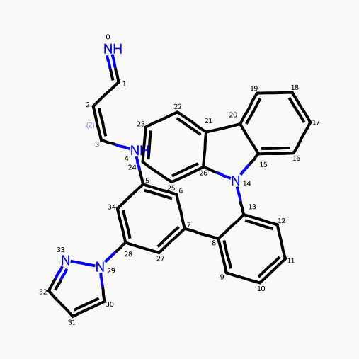 N=C/C=C\Nc1cc(-c2ccccc2-n2c3ccccc3c3ccccc32)cc(-n2cccn2)c1